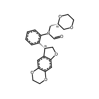 O=CN(C[C@H]1COCCO1)c1ccccc1[C@@H]1COc2cc3c(cc21)OCCO3